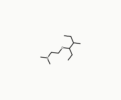 CCC(C)C(CC)OCCN(C)C